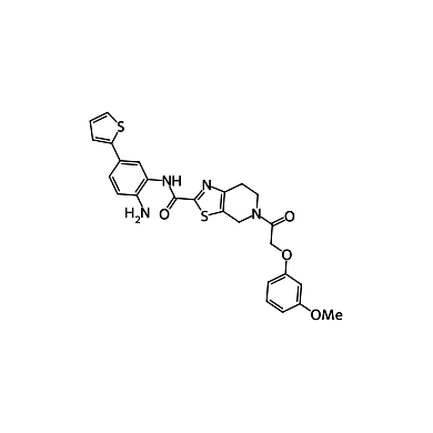 COc1cccc(OCC(=O)N2CCc3nc(C(=O)Nc4cc(-c5cccs5)ccc4N)sc3C2)c1